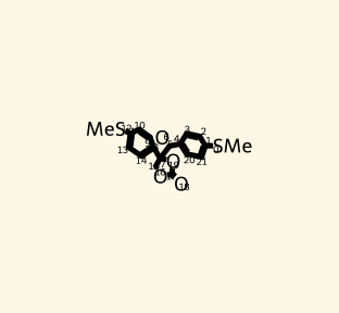 CSc1ccc(C(=O)C2(c3ccc(SC)cc3)COC(=O)O2)cc1